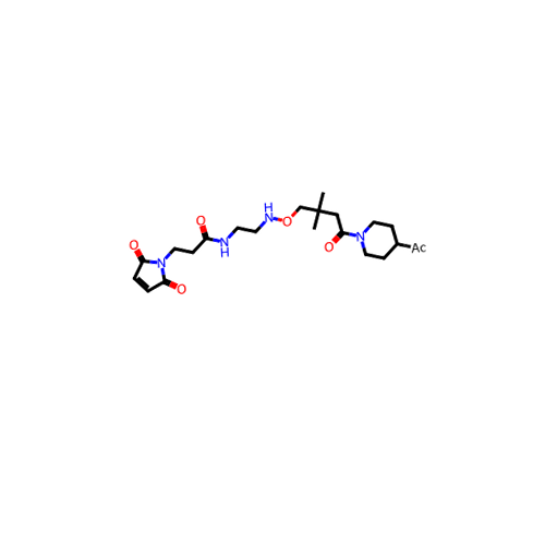 CC(=O)C1CCN(C(=O)CC(C)(C)CONCCNC(=O)CCN2C(=O)C=CC2=O)CC1